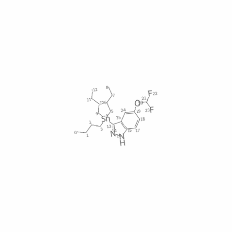 CCC[CH2][Sn]([CH2]CCC)([CH2]CCC)[c]1n[nH]c2ccc(OC(F)F)cc12